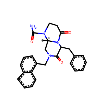 NC(=O)N1CCC(=O)N2C(Cc3ccccc3)C(=O)N(Cc3cccc4ccccc34)C[C@H]12